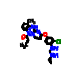 C=CC(=O)Nc1cccc(C)c1Nc1nccc(Oc2ccc(NCNC3CC3)c(Cl)c2)n1